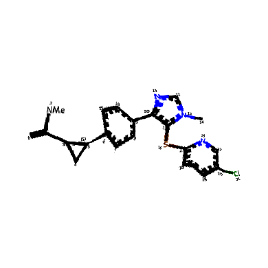 C=C(NC)C1C[C@@H]1c1ccc(-c2ncn(C)c2Sc2ccc(Cl)cn2)cc1